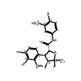 COc1c([C@H]2[C@H](C(=O)Nc3ccc(F)c(S(=O)(=O)O)c3)O[C@@](C)(C(F)(F)F)[C@H]2C)ccc(F)c1F